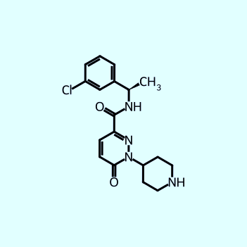 C[C@@H](NC(=O)c1ccc(=O)n(C2CCNCC2)n1)c1cccc(Cl)c1